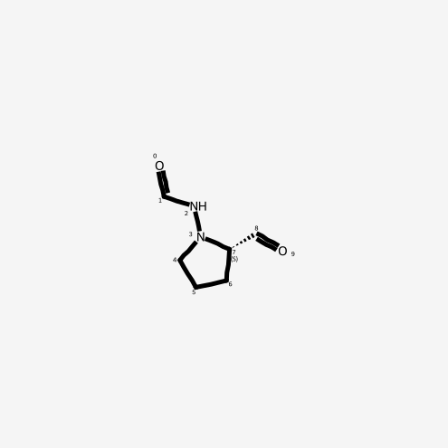 O=CNN1CCC[C@H]1C=O